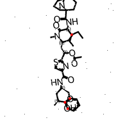 CCC(C)[C@H](NC(=O)C12CCCC(CCC1)N2C)C(=O)N(C)[C@H](C[C@@H](OC(C)=O)c1nc(C(=O)N[C@@H](Cc2ccccc2)C[C@H](C)C(=O)O)cs1)C(C)C